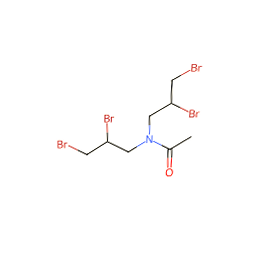 CC(=O)N(CC(Br)CBr)CC(Br)CBr